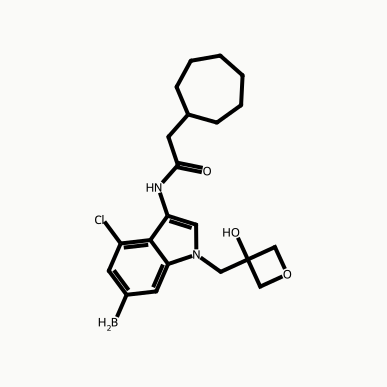 Bc1cc(Cl)c2c(NC(=O)CC3CCCCCC3)cn(CC3(O)COC3)c2c1